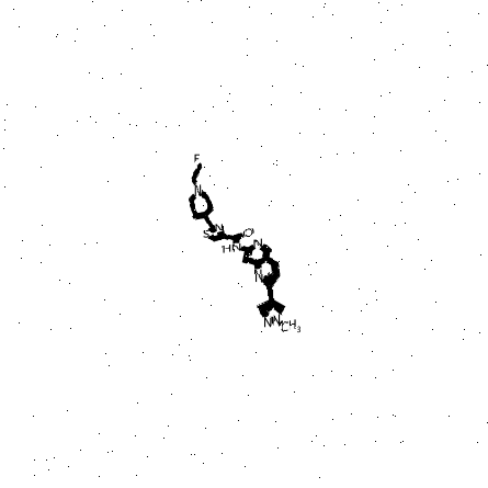 Cn1cc(-c2ccc3cnc(NC(=O)c4csc(C5CCN(CCF)CC5)n4)cc3n2)cn1